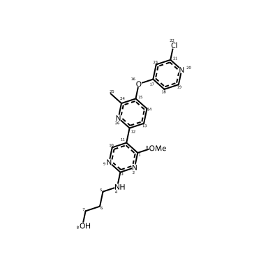 COc1nc(NCCCO)ncc1-c1ccc(Oc2ccnc(Cl)c2)c(C)n1